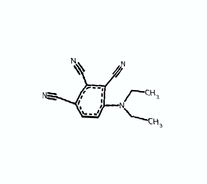 CCN(CC)c1ccc(C#N)c(C#N)c1C#N